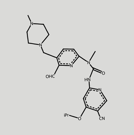 CC(C)Oc1cc(NC(=O)N(C)c2ccc(CN3CCN(C)CC3)c(C=O)n2)ncc1C#N